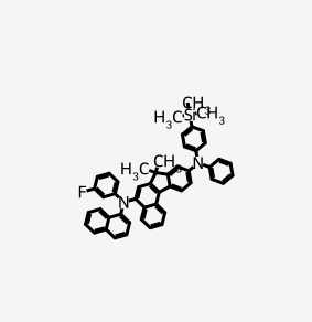 CC1(C)c2cc(N(c3ccccc3)c3ccc([Si](C)(C)C)cc3)ccc2-c2c1cc(N(c1cccc(F)c1)c1cccc3ccccc13)c1ccccc21